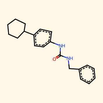 O=C(NCc1ccccc1)Nc1ccc(C2CCCCC2)cc1